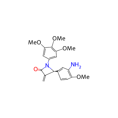 C=C1C(=O)N(c2cc(OC)c(OC)c(OC)c2)[C@H]1c1ccc(OC)c(N)c1